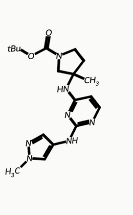 Cn1cc(Nc2nccc(NC3(C)CCN(C(=O)OC(C)(C)C)C3)n2)cn1